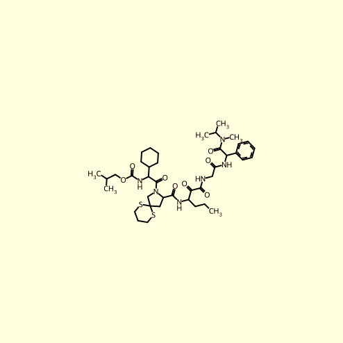 CCCC(NC(=O)C1CC2(CN1C(=O)C(NC(=O)OCC(C)C)C1CCCCC1)SCCCS2)C(=O)C(=O)NCC(=O)NC(C(=O)N(C)C(C)C)c1ccccc1